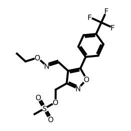 CCON=Cc1c(COS(C)(=O)=O)noc1-c1ccc(C(F)(F)F)cc1